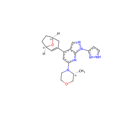 C[C@@H]1COCCN1c1cc(C2=C[C@H]3CC[C@@H](C2)O3)c2cnn(-c3cc[nH]n3)c2n1